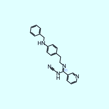 N#CN/C(=N\CCc1ccc(NCc2ccccc2)cc1)c1cccnc1